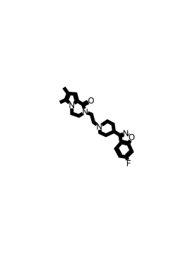 Cc1cc2n(c1C)CCN(CCN1CCC(c3noc4cc(F)ccc34)CC1)C2=O